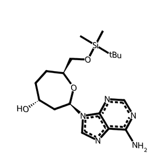 CC(C)(C)[Si](C)(C)OC[C@@H]1CC[C@@H](O)C[C@H](n2cnc3c(N)ncnc32)O1